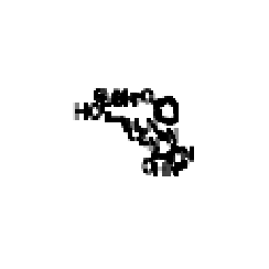 COc1ccccc1.Nc1nc2nc[nH]c2c(=O)n1COCCCP(=O)(O)O